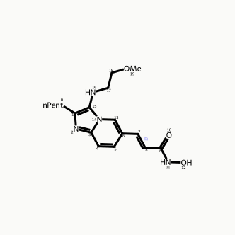 CCCCCc1nc2ccc(/C=C/C(=O)NO)cn2c1NCCOC